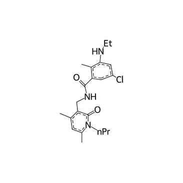 CCCn1c(C)cc(C)c(CNC(=O)c2cc(Cl)cc(NCC)c2C)c1=O